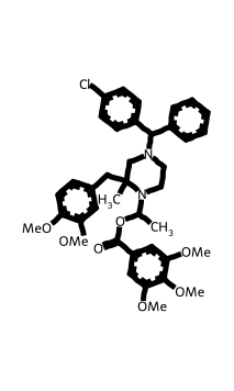 COc1ccc(CC2(C)CN(C(c3ccccc3)c3ccc(Cl)cc3)CCN2C(C)OC(=O)c2cc(OC)c(OC)c(OC)c2)cc1OC